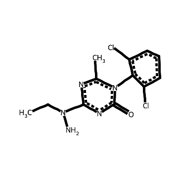 CCN(N)c1nc(C)n(-c2c(Cl)cccc2Cl)c(=O)n1